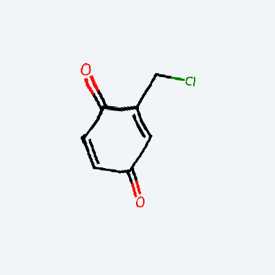 O=C1C=CC(=O)C(CCl)=C1